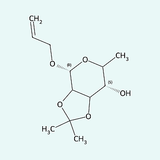 C=CCO[C@@H]1OC(C)[C@H](O)C2OC(C)(C)OC21